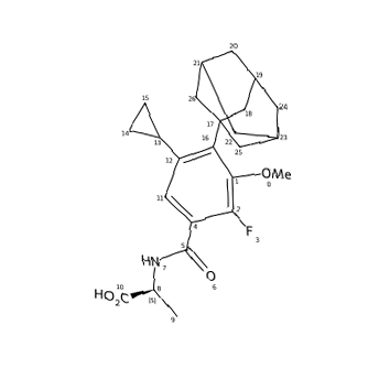 COc1c(F)c(C(=O)N[C@@H](C)C(=O)O)cc(C2CC2)c1C12CC3CC(CC(C3)C1)C2